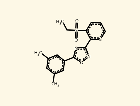 CCS(=O)(=O)c1cccnc1-c1noc(-c2cc(C)cc(C)c2)n1